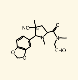 CN(CC=O)C(=O)C1C[C@](C)(C#N)C(c2ccc3c(c2)OCO3)N1C